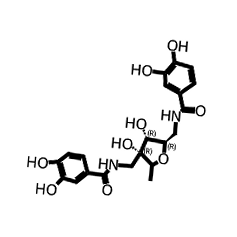 CC1O[C@H](CNC(=O)c2ccc(O)c(O)c2)[C@@H](O)[C@]1(O)CNC(=O)c1ccc(O)c(O)c1